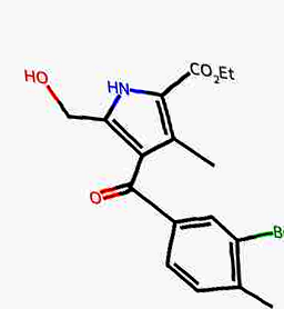 CCOC(=O)c1[nH]c(CO)c(C(=O)c2ccc(C)c(Br)c2)c1C